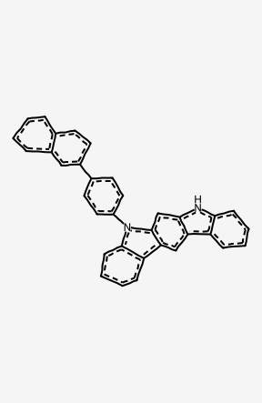 c1ccc2cc(-c3ccc(-n4c5ccccc5c5cc6c(cc54)[nH]c4ccccc46)cc3)ccc2c1